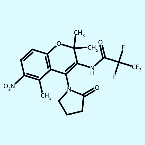 Cc1c([N+](=O)[O-])ccc2c1C(N1CCCC1=O)=C(NC(=O)C(F)(F)C(F)(F)F)C(C)(C)O2